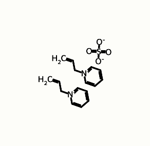 C=CC[n+]1ccccc1.C=CC[n+]1ccccc1.O=S(=O)([O-])[O-]